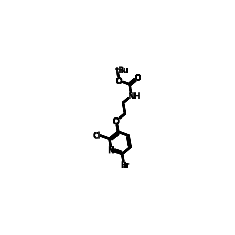 CC(C)(C)OC(=O)NCCOc1ccc(Br)nc1Cl